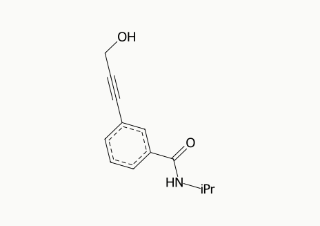 CC(C)NC(=O)c1cccc(C#CCO)c1